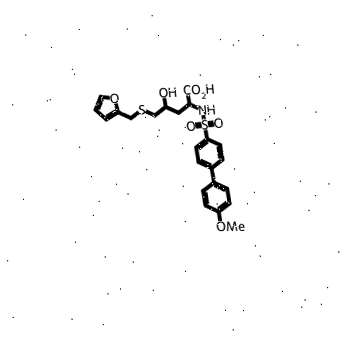 COc1ccc(-c2ccc(S(=O)(=O)NC(CC(O)CSCc3ccco3)C(=O)O)cc2)cc1